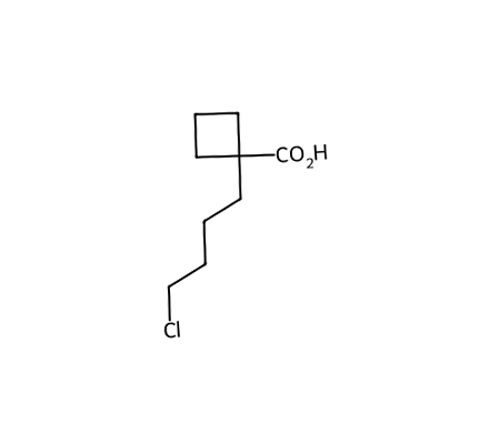 O=C(O)C1(CCCCCl)CCC1